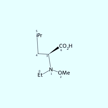 CCN(OC)[C@@H](CC(C)C)C(=O)O